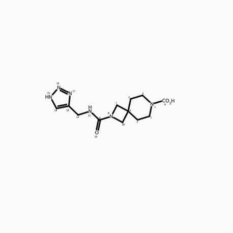 O=C(O)N1CCC2(CC1)CN(C(=O)NCc1c[nH]nn1)C2